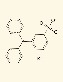 O=S(=O)([O-])c1cccc(P(c2ccccc2)c2ccccc2)c1.[K+]